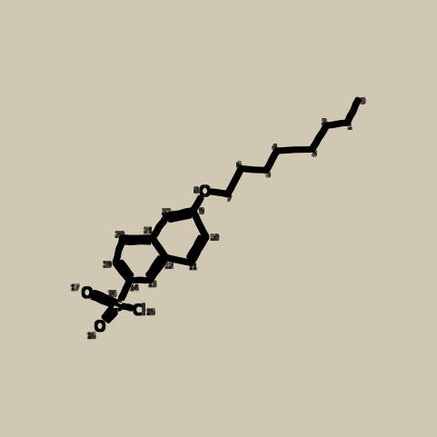 CCCCCCCCOc1ccc2cc(S(=O)(=O)Cl)ccc2c1